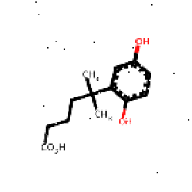 CC(C)(CCCC(=O)O)c1cc(O)ccc1O